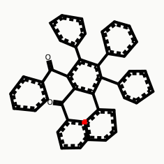 O=C(c1ccccc1)c1c(C(=O)c2ccccc2)c(-c2ccccc2)c(-c2ccccc2)c(-c2ccccc2)c1-c1ccccc1